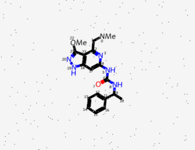 CNCc1nc(NC(=O)NC(C)c2ccccc2)cc2[nH]nc(OC)c12